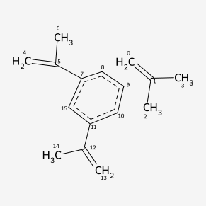 C=C(C)C.C=C(C)c1cccc(C(=C)C)c1